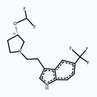 FC(F)O[C@H]1CCN(CCc2c[nH]c3ccc(C(F)(F)F)cc23)C1